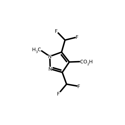 Cn1nc(C(F)F)c(C(=O)O)c1C(F)F